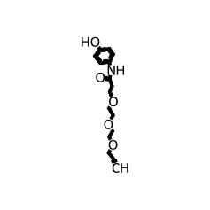 C#CCOCCOCCOCCC(=O)Nc1ccc(O)cc1